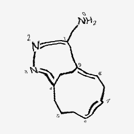 NC1=NN=C2CC=CC=C12